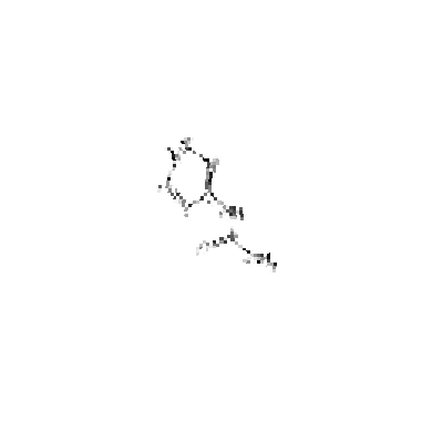 NC(=O)Nc1ccnnn1